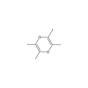 CC1=C(C)OC(I)=C(C)O1